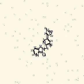 Cn1cc(-c2cnc(CN3Cc4cccnc4C3=O)c(F)c2)cn1